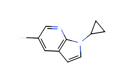 CC(C)(C)c1cnc2c(ccn2C2CC2)c1